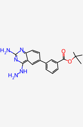 CC(C)(C)OC(=O)c1cccc(-c2ccc3nc(N)nc(NN)c3c2)c1